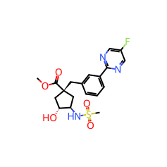 COC(=O)[C@@]1(Cc2cccc(-c3ncc(F)cn3)c2)C[C@@H](O)[C@H](NS(C)(=O)=O)C1